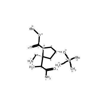 CC(C(N)=O)[C@]1(CN)C[C@@H](O[Si](C)(C)C(C)(C)C)CN1C(=O)OC(C)(C)C